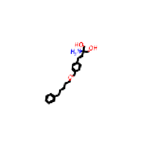 NC(CO)(CO)CCc1ccc(COCCCCCc2ccccc2)cc1